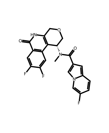 CN(C(=O)c1cc2ccc(F)cn2c1)[C@H]1COCc2[nH]c(=O)c3cc(F)c(F)cc3c21